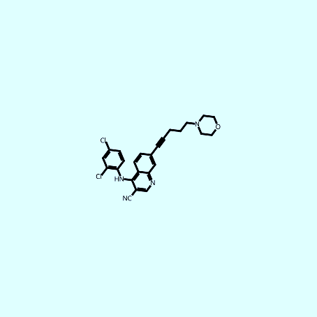 N#Cc1cnc2cc(C#CCCCN3CCOCC3)ccc2c1Nc1ccc(Cl)cc1Cl